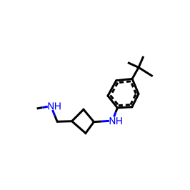 CNCC1CC(Nc2ccc(C(C)(C)C)cc2)C1